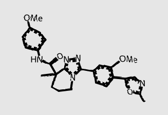 COc1ccc(NC(=O)C2(C)CCCn3c(-c4ccc(-c5cnc(C)o5)c(OC)c4)nnc32)cc1